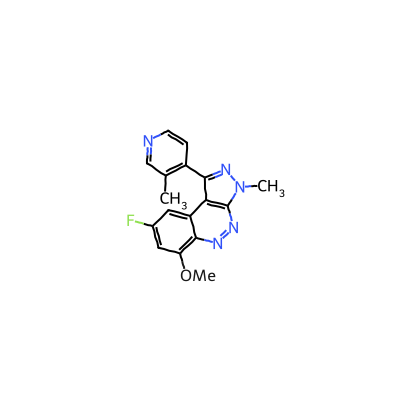 COc1cc(F)cc2c1nnc1c2c(-c2ccncc2C)nn1C